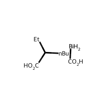 CCCCC(CC)C(=O)O.O=[C](O)[BiH2]